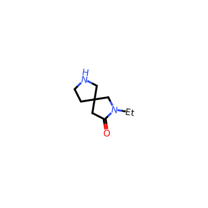 CCN1CC2(CCNC2)CC1=O